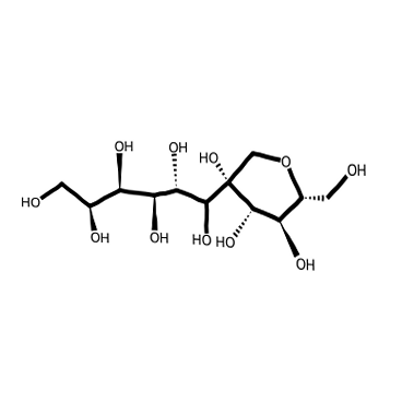 OC[C@H](O)[C@@H](O)[C@H](O)[C@H](O)C(O)[C@@]1(O)CO[C@H](CO)[C@@H](O)[C@@H]1O